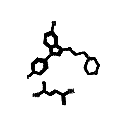 Fc1ccc(-n2cc(OCCN3CCOCC3)c3cc(Cl)ccc32)cc1.O=C(O)C=CC(=O)O